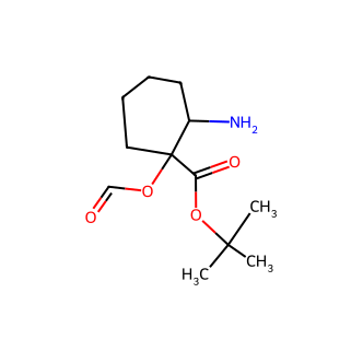 CC(C)(C)OC(=O)C1(OC=O)CCCCC1N